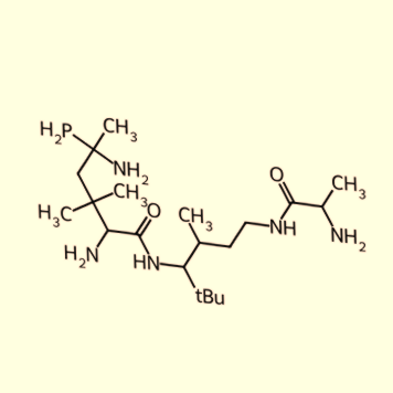 CC(N)C(=O)NCCC(C)C(NC(=O)C(N)C(C)(C)CC(C)(N)P)C(C)(C)C